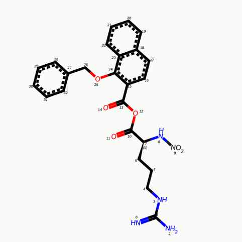 N=C(N)NCCC[C@H](N[N+](=O)[O-])C(=O)OC(=O)c1ccc2ccccc2c1OCc1ccccc1